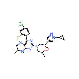 Cc1cnc2c(-c3ccc(Cl)cc3F)nc(N3CC(C)OC(c4cnn(C5CC5)c4)C3)nc2n1